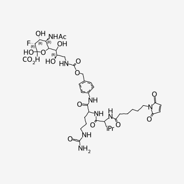 CC(=O)N[C@H]1C(C(O)[C@H](O)CNC(=O)OCc2ccc(NC(=O)C(CCCNC(N)=O)NC(=O)C(NC(=O)CCCCCN3C(=O)C=CC3=O)C(C)C)cc2)OC(O)(C(=O)O)[C@H](F)[C@@H]1O